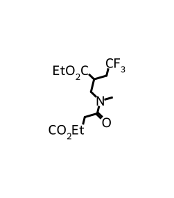 CCOC(=O)CC(=O)N(C)CC(CC(F)(F)F)C(=O)OCC